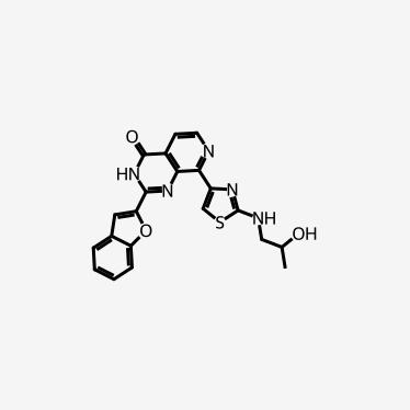 CC(O)CNc1nc(-c2nccc3c(=O)[nH]c(-c4cc5ccccc5o4)nc23)cs1